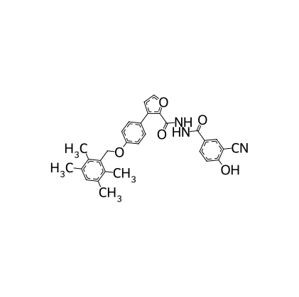 Cc1cc(C)c(C)c(COc2ccc(-c3ccoc3C(=O)NNC(=O)c3ccc(O)c(C#N)c3)cc2)c1C